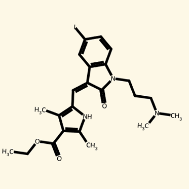 CCOC(=O)c1c(C)[nH]c(/C=C2\C(=O)N(CCCN(C)C)c3ccc(I)cc32)c1C